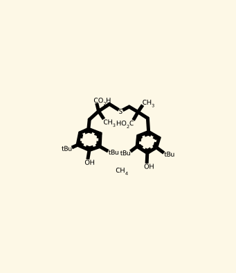 C.CC(CSCC(C)(Cc1cc(C(C)(C)C)c(O)c(C(C)(C)C)c1)C(=O)O)(Cc1cc(C(C)(C)C)c(O)c(C(C)(C)C)c1)C(=O)O